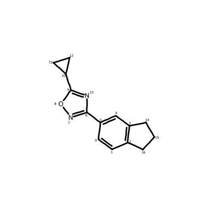 c1cc2c(cc1-c1noc(C3CC3)n1)CCC2